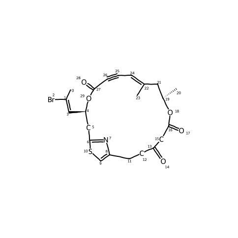 C/C(Br)=C\[C@@H]1Cc2nc(cs2)CCC(=O)CC(=O)O[C@@H](C)C/C(C)=C/C#CC(=O)O1